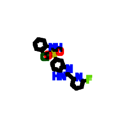 O=S(=O)(Nc1ccccc1Cl)c1ccc2[nH]c(-c3cccc(F)n3)nc2c1